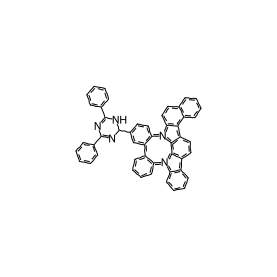 c1ccc(C2=NC(c3ccc4c(c3)c3ccccc3n3c5ccccc5c5ccc6c7c8ccccc8ccc7n4c6c53)NC(c3ccccc3)=N2)cc1